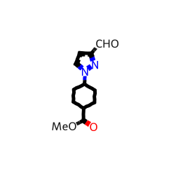 COC(=O)C1CCC(n2ccc(C=O)n2)CC1